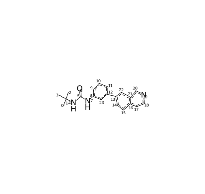 CC(C)(C)NC(=O)Nc1cccc(-c2ccc3ccncc3c2)c1